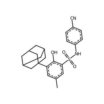 Cc1cc(C23CC4CC(CC(C4)C2)C3)c(O)c(S(=O)(=O)Nc2ccc(C#N)cc2)c1